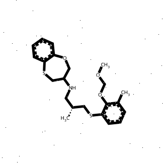 COCOc1c(C)cccc1SC[C@H](C)CNC1COc2ccccc2SC1